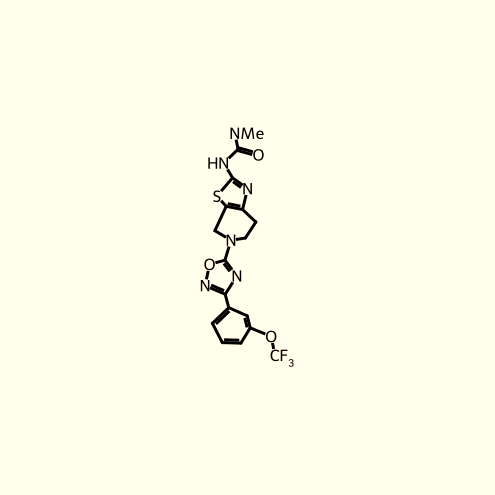 CNC(=O)Nc1nc2c(s1)CN(c1nc(-c3cccc(OC(F)(F)F)c3)no1)CC2